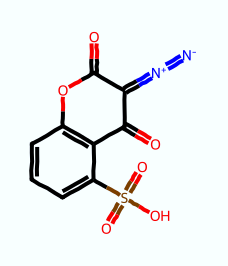 [N-]=[N+]=C1C(=O)Oc2cccc(S(=O)(=O)O)c2C1=O